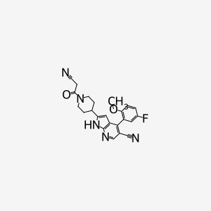 COc1ccc(F)cc1-c1c(C#N)cnc2[nH]c(C3CCN(C(=O)CC#N)CC3)cc12